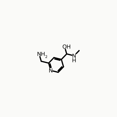 CNC(O)c1ccnc(CN)c1